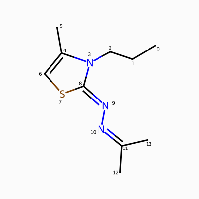 CCCn1c(C)cs/c1=N\N=C(C)C